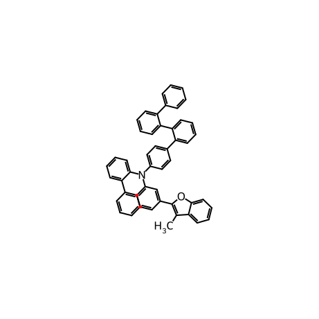 Cc1c(-c2cccc(N(c3ccc(-c4ccccc4-c4ccccc4-c4ccccc4)cc3)c3ccccc3-c3ccccc3)c2)oc2ccccc12